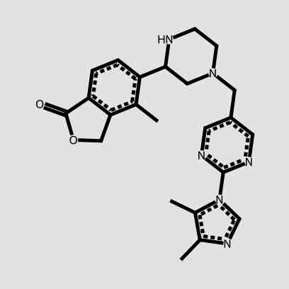 Cc1ncn(-c2ncc(CN3CCNC(c4ccc5c(c4C)COC5=O)C3)cn2)c1C